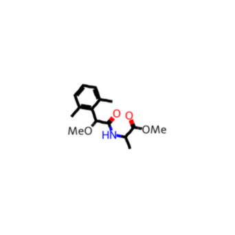 COC(=O)C(C)NC(=O)C(OC)c1c(C)cccc1C